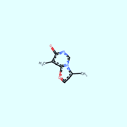 Cc1c(=O)ncn2c(C)coc12